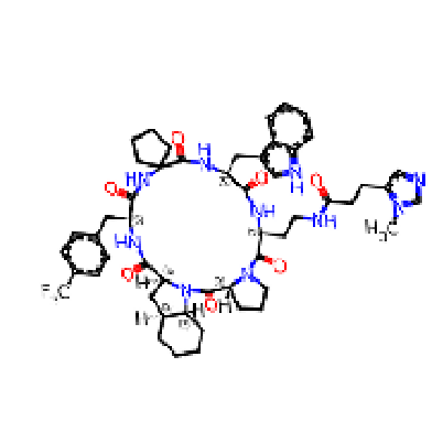 Cn1cncc1CCC(=O)NCC[C@@H]1NC(=O)[C@H](Cc2c[nH]c3ccccc23)NC(=O)C2(CCCC2)NC(=O)[C@H](Cc2ccc(C(F)(F)F)cc2)NC(=O)[C@@H]2C[C@@H]3CCCC[C@@H]3N2C(=O)[C@H]2CCCN2C1=O